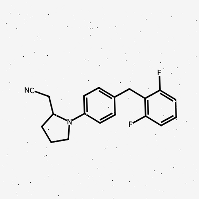 N#CCC1CCCN1c1ccc(Cc2c(F)cccc2F)cc1